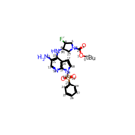 CC(C)(C)OC(=O)N1CC(F)[C@H](Nc2c(N)cnc3c2ccn3S(=O)(=O)c2ccccc2)C1